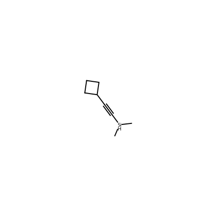 C[SiH](C)C#CC1CCC1